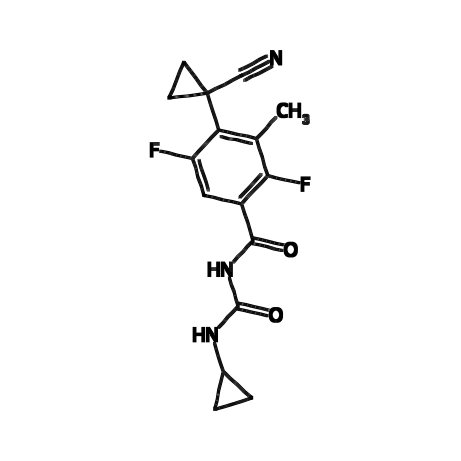 Cc1c(F)c(C(=O)NC(=O)NC2CC2)cc(F)c1C1(C#N)CC1